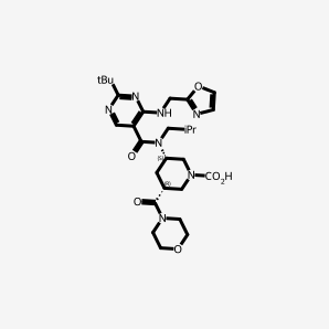 CC(C)CN(C(=O)c1cnc(C(C)(C)C)nc1NCc1ncco1)[C@H]1C[C@@H](C(=O)N2CCOCC2)CN(C(=O)O)C1